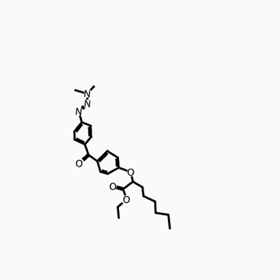 CCCCCCC(Oc1ccc(C(=O)c2ccc(N=NN(C)C)cc2)cc1)C(=O)OCC